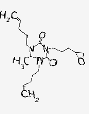 C=CCCCN1C(=O)N(CCCC2CO2)C(=O)N(CCCC=C)C1C